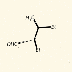 CCC(C)[C@@H](C=O)CC